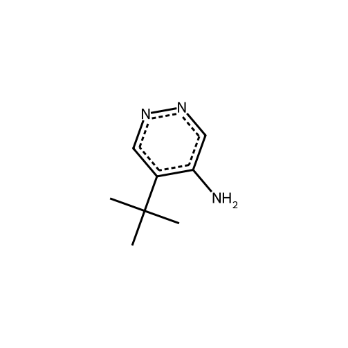 CC(C)(C)c1cnncc1N